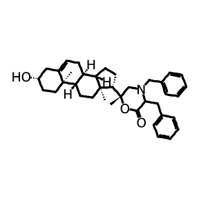 C[C@]12CC[C@H]3[C@@H](CC=C4C[C@@H](O)CC[C@@]43C)[C@@H]1CC[C@@H]2[C@]1(C)CN(Cc2ccccc2)C(Cc2ccccc2)C(=O)O1